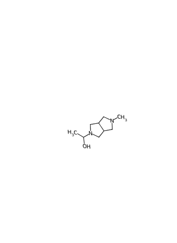 CC(O)N1CC2CN(C)CC2C1